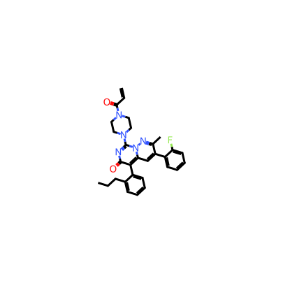 C=CC(=O)N1CCN(c2nc(=O)c(-c3ccccc3CCC)c3cc(-c4ccccc4F)c(C)nn23)CC1